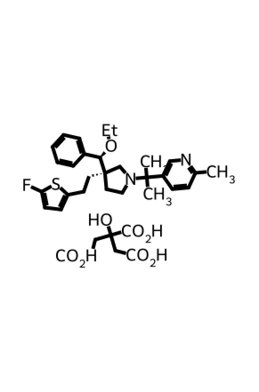 CCO[C@H](c1ccccc1)[C@]1(CCc2ccc(F)s2)CCN(C(C)(C)c2ccc(C)nc2)C1.O=C(O)CC(O)(CC(=O)O)C(=O)O